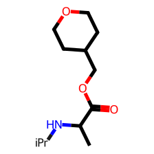 CC(C)NC(C)C(=O)OCC1CCOCC1